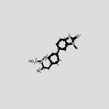 Cn1c(=O)oc2ccc(-c3ccc(CC(C#N)N(C(=O)O)C(C)(C)C)cc3)cc21